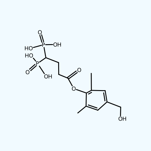 Cc1cc(CO)cc(C)c1OC(=O)CCC(P(=O)(O)O)P(=O)(O)O